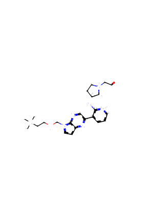 C[Si](C)(C)CCOCn1ccc2nc(-c3cccnc3N[C@@H]3CCN(CC=O)C3)cnc21